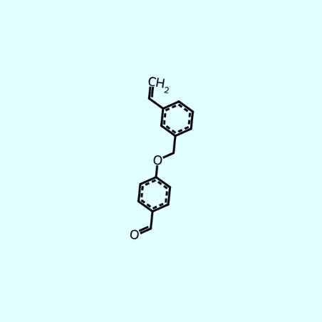 C=Cc1cccc(COc2ccc(C=O)cc2)c1